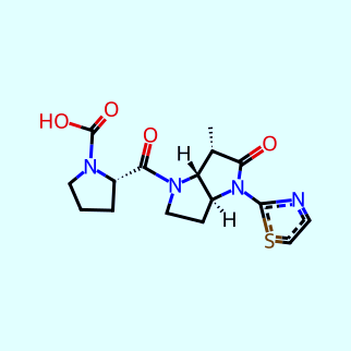 C[C@@H]1C(=O)N(c2nccs2)[C@H]2CCN(C(=O)[C@@H]3CCCN3C(=O)O)[C@H]12